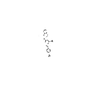 CCOC(=O)[C@H]1C[C@@H]1c1ccc(-c2cn3cc(C(=O)N4CCc5ccccc5[C@H]4C)cc(C4CC4)c3n2)c(F)c1